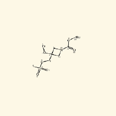 CCOC1(COS(C)(=O)=O)CN(C(=O)OC(C)(C)C)C1